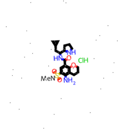 CNS(=O)(=O)c1cc(C(=O)NC(CC2CC2)C2CCCN2)c2c(c1N)CCCO2.Cl